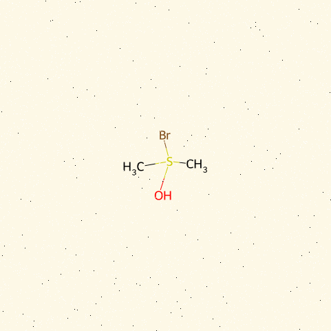 CS(C)(O)Br